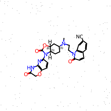 CN(CCn1c(=O)ccc2ccc(C#N)cc21)[C@H]1CC[C@H]2[C@@H](C1)OC(=O)N2c1ccc2c(n1)NC(=O)CO2